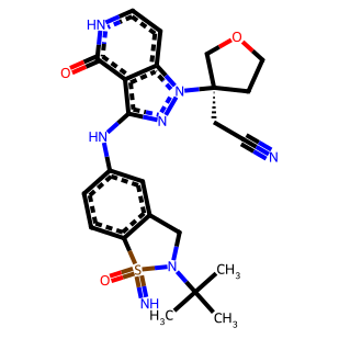 CC(C)(C)N1Cc2cc(Nc3nn([C@]4(CC#N)CCOC4)c4cc[nH]c(=O)c34)ccc2S1(=N)=O